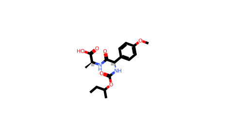 CCC(C)OC(=O)N[C@H](C(=O)N[C@@H](C)C(=O)O)c1ccc(OC)cc1